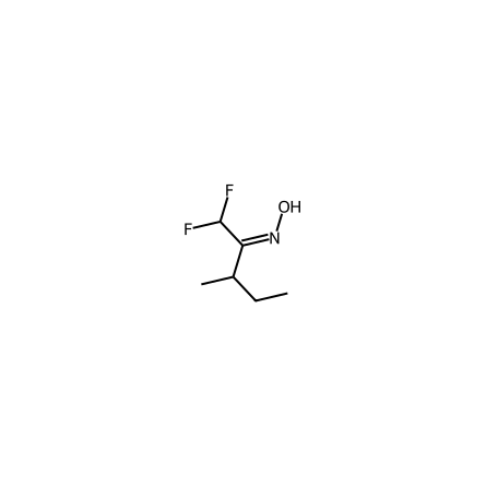 CCC(C)C(=NO)C(F)F